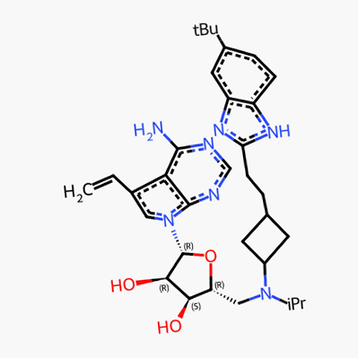 C=Cc1cn([C@@H]2O[C@H](CN(C(C)C)C3CC(CCc4nc5cc(C(C)(C)C)ccc5[nH]4)C3)[C@@H](O)[C@H]2O)c2ncnc(N)c12